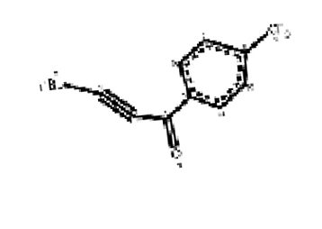 CCCCC#CC(=O)c1ccc(C(F)(F)F)cc1